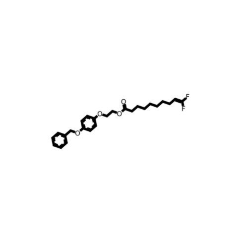 O=C(CCCCCCCC=C(F)F)OCCOc1ccc(OCc2ccccc2)cc1